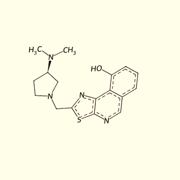 CN(C)[C@@H]1CCN(Cc2nc3c(ncc4cccc(O)c43)s2)C1